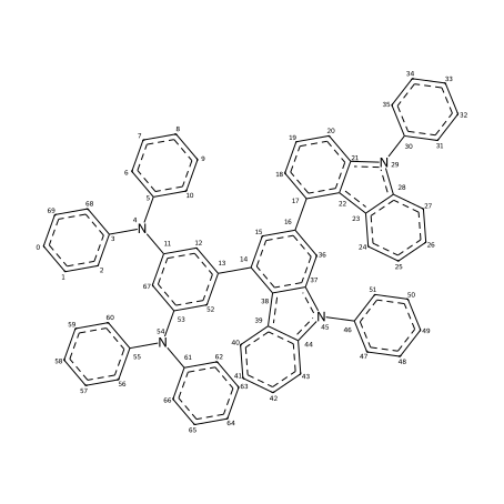 c1ccc(N(c2ccccc2)c2cc(-c3cc(-c4cccc5c4c4ccccc4n5-c4ccccc4)cc4c3c3ccccc3n4-c3ccccc3)cc(N(c3ccccc3)c3ccccc3)c2)cc1